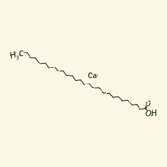 CCCCCCCCCCCCCCCCCCCCCCCCCCCC(=O)O.[Ca]